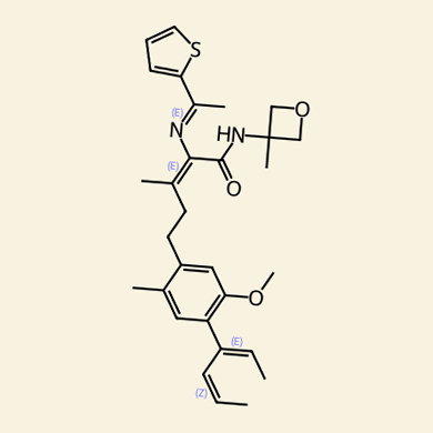 C/C=C\C(=C/C)c1cc(C)c(CC/C(C)=C(/N=C(\C)c2cccs2)C(=O)NC2(C)COC2)cc1OC